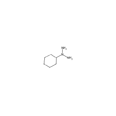 NN(N)C1CCCCC1